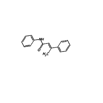 C/C(=C\C(=O)Nc1ccccc1)c1ccccc1